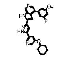 COc1cc(F)cc(-c2cncc3[nH]c(-c4cc(-c5cncc(OC6CCCCC6)c5)[nH]n4)cc23)c1